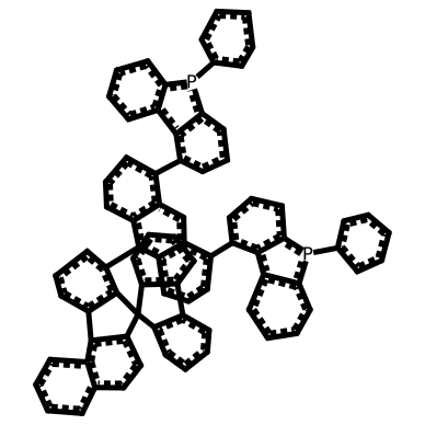 c1ccc(-p2c3ccccc3c3c(-c4cccc5c(-c6cccc7c6C6(c8ccccc8-c8ccccc86)c6ccc8ccccc8c6-7)c6cccc(-c7cccc8c7c7ccccc7p8-c7ccccc7)c6cc45)cccc32)cc1